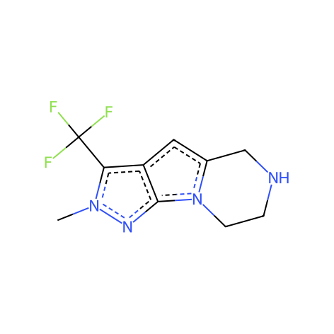 Cn1nc2c(cc3n2CCNC3)c1C(F)(F)F